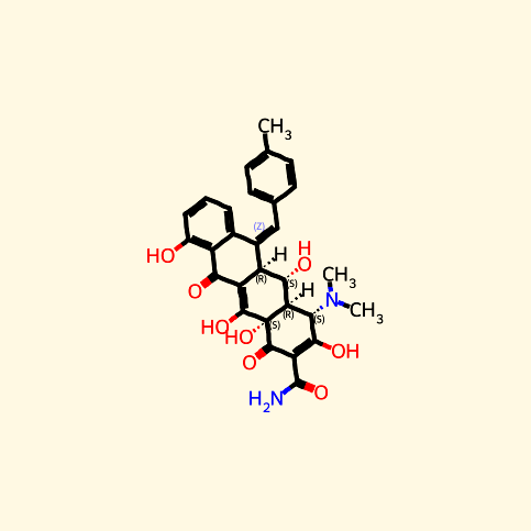 Cc1ccc(/C=C2\c3cccc(O)c3C(=O)C3=C(O)[C@]4(O)C(=O)C(C(N)=O)=C(O)[C@@H](N(C)C)[C@@H]4[C@@H](O)[C@@H]32)cc1